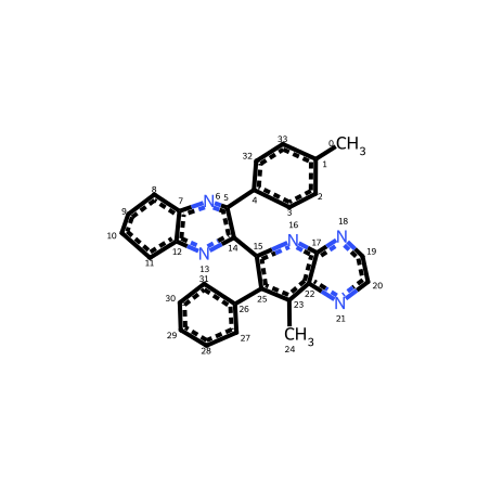 Cc1ccc(-c2nc3ccccc3nc2-c2nc3nccnc3c(C)c2-c2ccccc2)cc1